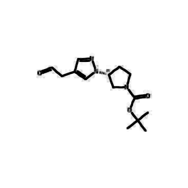 CC(C)(C)OC(=O)N1CC[C@@H](n2cc(CC=O)cn2)C1